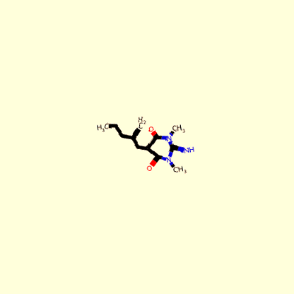 C=C(CCC)CC1C(=O)N(C)C(=N)N(C)C1=O